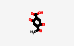 CC(=O)C1=CC(=O)C(C(=O)O)=CC1=O